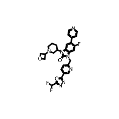 O=c1n(Cc2ccc(-c3nnc(C(F)F)o3)cn2)c2cc(F)c(-c3ccncc3)cc2n1C1CCCN(C2COC2)C1